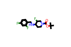 CC(C)(C)OC(=O)N1CCC(NCc2ccc(F)cc2F)C(F)C1